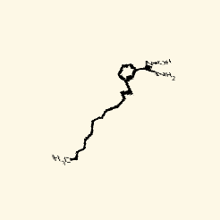 CCCCCCCCCCCCc1cccc(C(N)=NO)c1